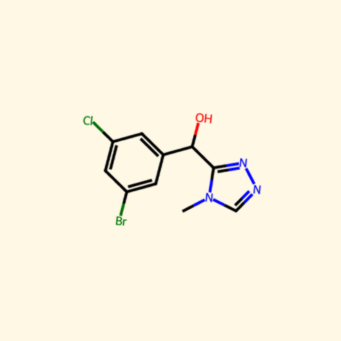 Cn1cnnc1C(O)c1cc(Cl)cc(Br)c1